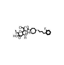 CSC1O[C@H]([C@H](NC(=O)[C@@H]2CC[C@H](CCCCc3ccccc3F)CCN2)[C@H](C)Cl)C(O)C2O[C@]12O